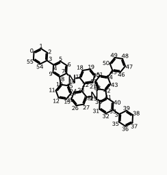 c1ccc(-c2ccc3c(c2)c2ccccc2n3-c2ccccc2-c2ccccc2-n2c3ccc(-c4ccccc4)cc3c3cc(-c4ccccc4)ccc32)cc1